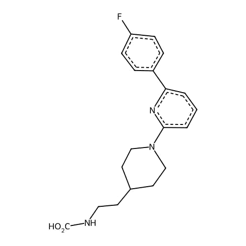 O=C(O)NCCC1CCN(c2cccc(-c3ccc(F)cc3)n2)CC1